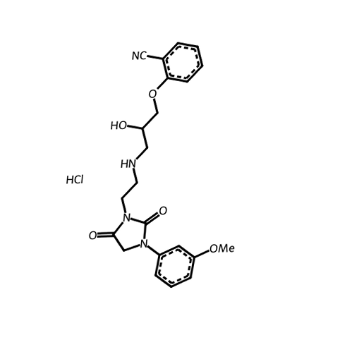 COc1cccc(N2CC(=O)N(CCNCC(O)COc3ccccc3C#N)C2=O)c1.Cl